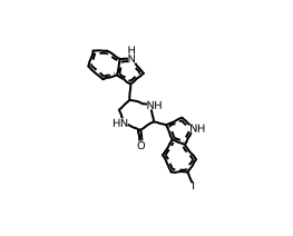 O=C1NCC(c2c[nH]c3ccccc23)NC1c1c[nH]c2cc(I)ccc12